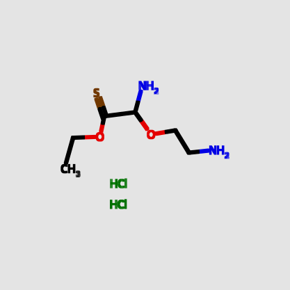 CCOC(=S)C(N)OCCN.Cl.Cl